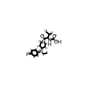 CCN(c1ccc(F)cc1)C1CCN(C(=O)[C@@H](NC(=O)O)C(C)C)CC1